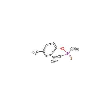 COP(=S)(OC)Oc1ccc([N+](=O)[O-])cc1.[Ca+2]